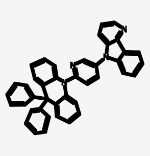 c1ccc(C2(c3ccccc3)c3ccccc3N(c3ccc(-n4c5ccccc5c5ncccc54)cn3)c3ccccc32)cc1